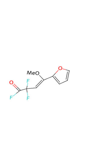 COC(=CC(F)(F)C(=O)F)c1ccco1